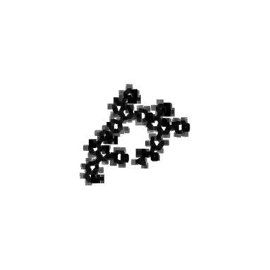 Cc1ccncc1-c1cc(N2CCOCC2)nc2c(-c3ccn[nH]3)nccc12.O=C(NC1CC1)c1ccc(-c2cc(N3CCOCC3)nc3c(-c4ccn[nH]4)nccc23)cc1.c1cc(-c2nccc3c(-c4ccc5cc[nH]c5c4)cc(N4CCOCC4)nc23)[nH]n1